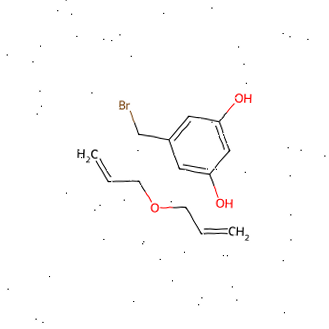 C=CCOCC=C.Oc1cc(O)cc(CBr)c1